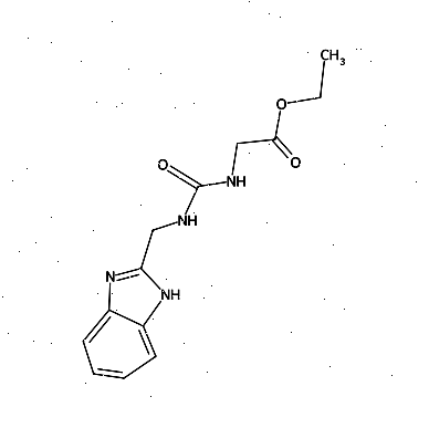 CCOC(=O)CNC(=O)NCc1nc2ccccc2[nH]1